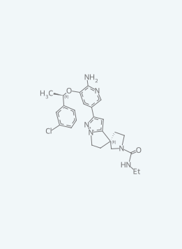 CCNC(=O)N1CC[C@@]2(CCn3nc(-c4cnc(N)c(O[C@H](C)c5cccc(Cl)c5)c4)cc32)C1